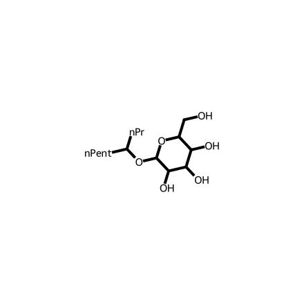 CCCCCC(CCC)OC1OC(CO)C(O)C(O)C1O